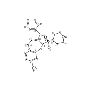 N#Cc1ccc2c(c1)CN(S(=O)(=O)N1CCOCC1)C(Cc1ccccc1)=CN2